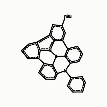 CCCCc1cc2c3c(c1)c1cccc4c1n3B1c3c-4cccc3N(c3ccccc3)c3cccc-2c31